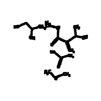 C=C(C(=O)OC)C(C)O.CC(=O)O.CC(O)CO.COC